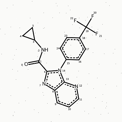 O=C(NC1CC1)c1nc2cccnc2n1-c1ccc(C(F)(F)F)cc1